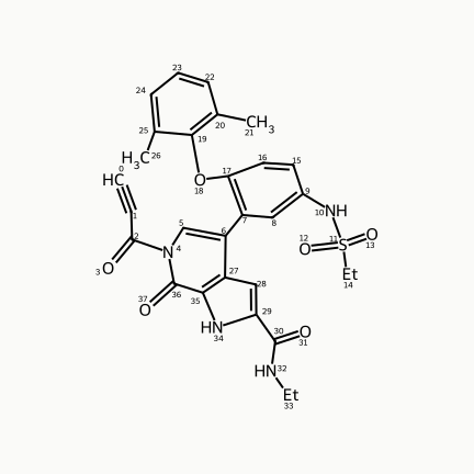 C#CC(=O)n1cc(-c2cc(NS(=O)(=O)CC)ccc2Oc2c(C)cccc2C)c2cc(C(=O)NCC)[nH]c2c1=O